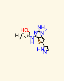 CC[C@H](CO)Nc1nc(N)nc2cc(-c3ccn[nH]3)sc12